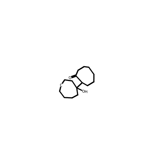 O=C1CCCCCCC1C1(O)CCCCCCC1